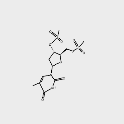 Cc1cn([C@H]2C[C@H](OS(C)(=O)=O)[C@@H](COS(C)(=O)=O)O2)c(=O)[nH]c1=O